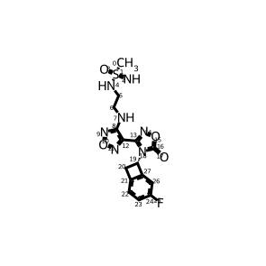 CS(=N)(=O)NCCNc1nonc1-c1noc(=O)n1[C@H]1Cc2ccc(F)cc21